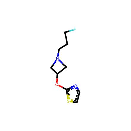 FCCCN1CC(Oc2nccs2)C1